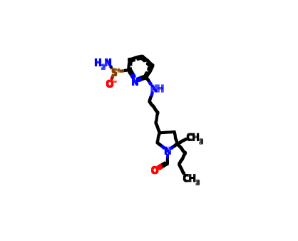 CCCC1(C)CC(CCCNc2cccc([S+](N)[O-])n2)CN1C=O